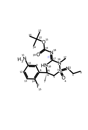 CCN=S1(=O)C[C@@](C)(c2cc(N)ccc2F)N/C(=N\C(=O)OC(C)(C)C)N1C